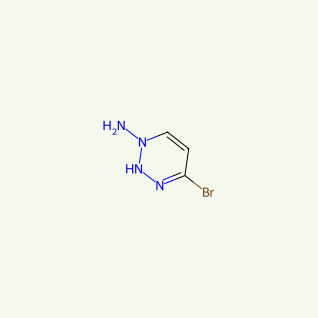 NN1C=CC(Br)=NN1